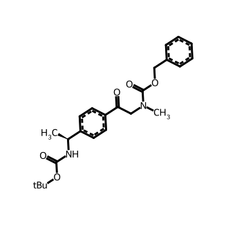 C[C@H](NC(=O)OC(C)(C)C)c1ccc(C(=O)CN(C)C(=O)OCc2ccccc2)cc1